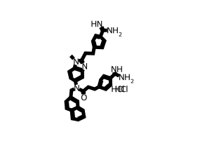 Cl.Cl.Cn1c(CCc2ccc(C(=N)N)cc2)nc2cc(N(Cc3ccc4ccccc4c3)C(=O)CCc3ccc(C(=N)N)cc3)ccc21